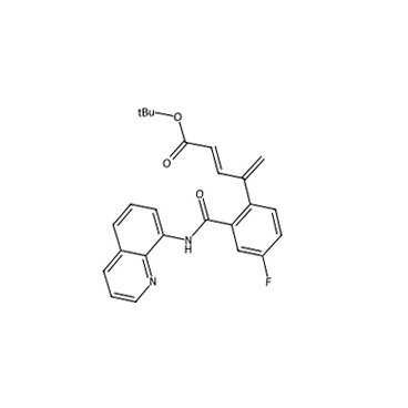 C=C(/C=C/C(=O)OC(C)(C)C)c1ccc(F)cc1C(=O)Nc1cccc2cccnc12